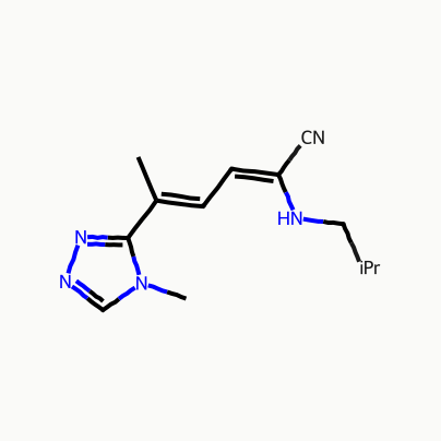 C/C(=C\C=C(\C#N)NCC(C)C)c1nncn1C